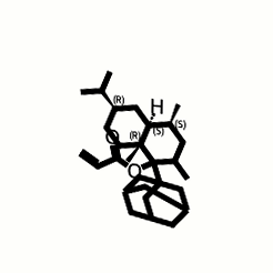 C=CC(=O)OC1(C23CC4CC(CC(C4)C2)C3)C(C)C[C@H](C)[C@@H]2C[C@H](C(C)C)CC[C@]21C